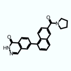 O=C(c1ccc2c(-c3ccc4c(=O)[nH]ncc4c3)cccc2c1)N1CCCC1